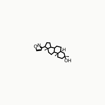 C[C@@]1(O)CC[C@]2(C)C3CC[C@]4(C)C(c5ccon5)CCC4C3CC[C@H]2C1